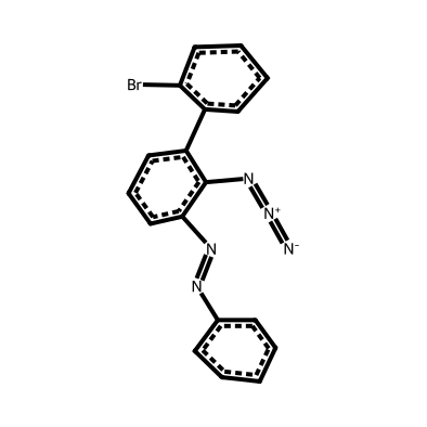 [N-]=[N+]=Nc1c(N=Nc2ccccc2)cccc1-c1ccccc1Br